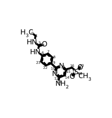 CCNC(=O)Nc1ccc(-c2nc(N)cc(CS(C)(=O)=O)n2)cc1